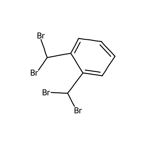 BrC(Br)c1ccccc1C(Br)Br